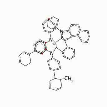 CC1C=CC=CC1c1ccc(N(c2ccccc2)C2c3ccccc3-c3c(n(C4=CC=CCC4)c4ccc5ccccc5c34)[C@H]2N(c2ccccc2)c2ccc(C3=CC=CCC3)cc2)cc1